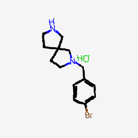 Brc1ccc(CN2CCC3(CCNC3)C2)cc1.Cl